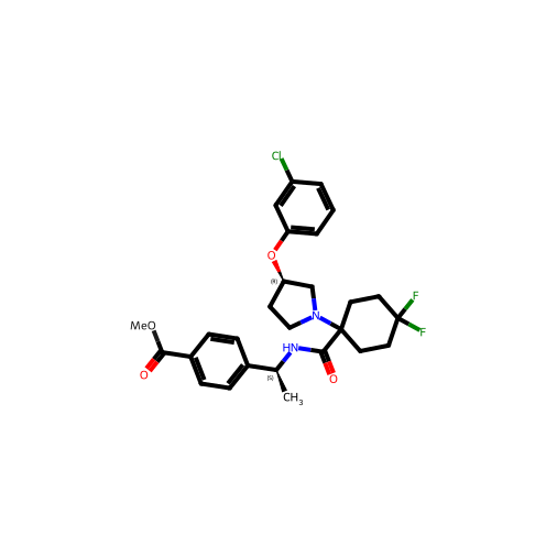 COC(=O)c1ccc([C@H](C)NC(=O)C2(N3CC[C@@H](Oc4cccc(Cl)c4)C3)CCC(F)(F)CC2)cc1